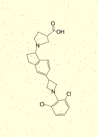 O=C(O)C1CCN(C2CCc3cc(C4CN(c5c(Cl)cccc5Cl)C4)ccc32)C1